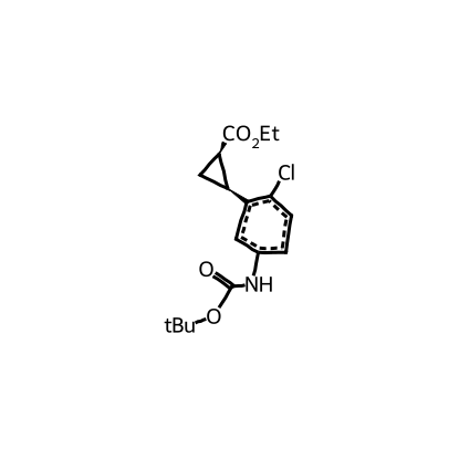 CCOC(=O)[C@@H]1C[C@@H]1c1cc(NC(=O)OC(C)(C)C)ccc1Cl